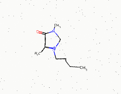 CCCCN1CN(C)C(=O)C1C